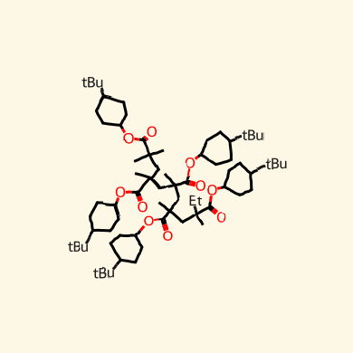 CCC(C)(CC(C)(CC(C)(CC(C)(CC(C)(C)C(=O)OC1CCC(C(C)(C)C)CC1)C(=O)OC1CCC(C(C)(C)C)CC1)C(=O)OC1CCC(C(C)(C)C)CC1)C(=O)OC1CCC(C(C)(C)C)CC1)C(=O)OC1CCC(C(C)(C)C)CC1